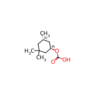 C[C@@H]1C[C@@H](OC(=O)O)CC(C)(C)C1